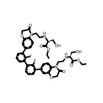 CCOC(=O)[C@H](CO)NCCN1C(=O)COc2cc(-c3cccc(-c4cccc(-c5ccc6c(c5)OCC(=O)N6CCN[C@@H](CO)C(=O)OCC)c4F)c3F)ccc21